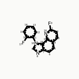 Fc1ccc2ccc3ncn(-c4ccccc4F)c3c2n1